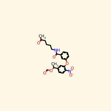 CC(=O)CCCCNC(=O)c1cccc(Oc2cc(C(C)OC=O)ccc2[N+](=O)[O-])c1